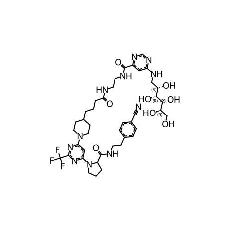 N#Cc1ccc(CCNC(=O)C2CCCN2c2cc(N3CCC(CCCC(=O)NCCNC(=O)c4cc(NC[C@H](O)[C@@H](O)[C@H](O)[C@H](O)CO)ncn4)CC3)nc(C(F)(F)F)n2)cc1